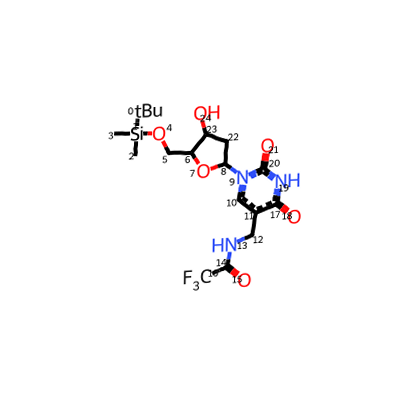 CC(C)(C)[Si](C)(C)OCC1OC(n2cc(CNC(=O)C(F)(F)F)c(=O)[nH]c2=O)CC1O